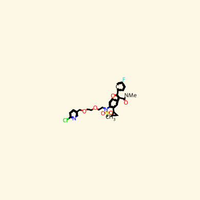 CNC(=O)c1c(-c2ccc(F)cc2)oc2cc(N(CCOCCOCc3ccc(Cl)nc3)S(C)(=O)=O)c(C3CC3)cc12